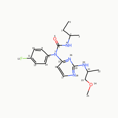 CCC(C)NC(=O)N(c1ccc(F)cc1)c1ccnc(NC(C)COC)n1